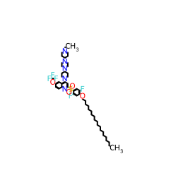 CCCCCCCCCCCCCCCCCCCCOc1cc(F)c(S(=O)(=O)c2cc(N3CCC(N4CCN(C5CCN(CC)CC5)CC4)CC3)c3cc(OC(F)(F)F)ccc3n2)cc1F